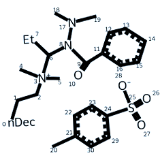 CCCCCCCCCCCC[N+](C)(C)C(CC)N(C(=O)c1ccccc1)N(C)C.Cc1ccc(S(=O)(=O)[O-])cc1